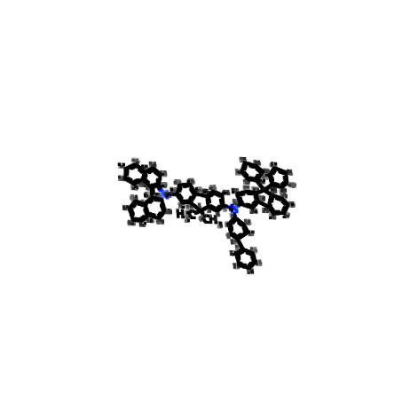 CC1(C)c2cc(N(c3ccc(-c4ccccc4)cc3)c3ccc4c(c3)-c3ccccc3C4(c3ccccc3)c3ccccc3)ccc2-c2ccc(-n3c4ccc5ccccc5c4c4c5ccccc5ccc43)cc21